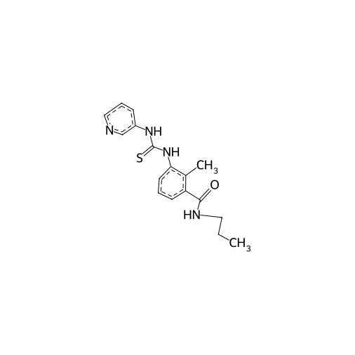 CCCNC(=O)c1cccc(NC(=S)Nc2cccnc2)c1C